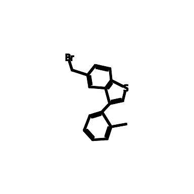 Cc1ccccc1-c1csc2ccc(CBr)cc12